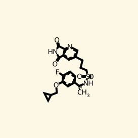 C[C@@H](NS(=O)(=O)CCCc1cnc2c(c1)C(=O)NC2=O)c1ccc(F)c(OCC2CC2)c1